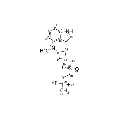 CN(c1ncnc2[nH]ccc12)[C@H]1C[C@@H](CS(=O)(=O)CCC(C)(F)F)C1